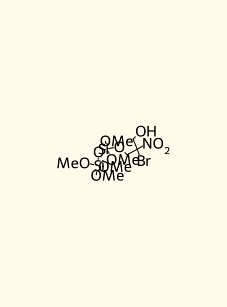 CO[Si](OC)(OC)O[Si](OC)(OC)OCC(Br)(CO)[N+](=O)[O-]